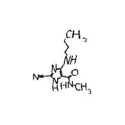 CCCCNc1nc(C#N)[nH]c1C(=O)NC